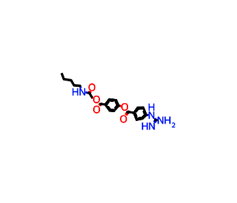 CCCCCNC(=O)COC(=O)c1ccc(OC(=O)c2ccc(NC(=N)N)cc2)cc1